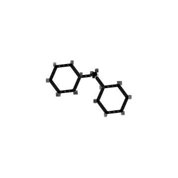 C1CCC([2P]C2CCCCC2)CC1